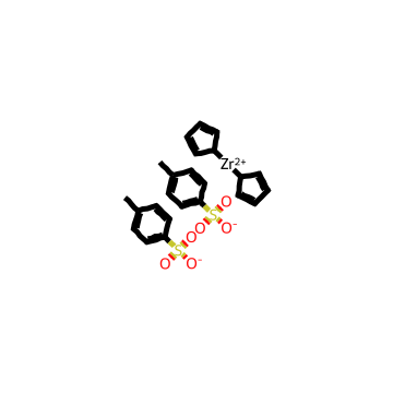 C1=C[CH]([Zr+2][CH]2C=CC=C2)C=C1.Cc1ccc(S(=O)(=O)[O-])cc1.Cc1ccc(S(=O)(=O)[O-])cc1